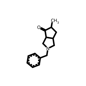 CC1CC2CN(Cc3ccccc3)CC2C1=O